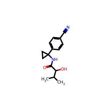 CC(C)C(O)C(=O)NC1(c2ccc(C#N)cc2)CC1